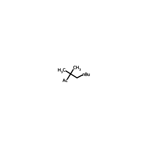 CCCCCC(C)(C)C(C)=O